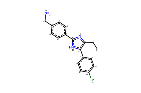 CCc1nc(-c2ccc(CN)cc2)[nH]c1-c1ccc(Br)cc1